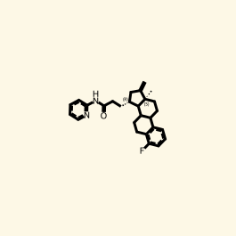 C=C1C[C@@H](CCC(=O)Nc2ccccn2)C2C3CCc4c(F)cccc4C3CC[C@]12C